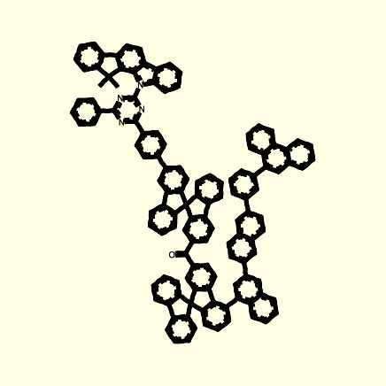 CC1(C)c2ccccc2-c2ccc3c4ccccc4n(-c4nc(-c5ccccc5)nc(-c5ccc(-c6ccc7c(c6)-c6ccccc6C76c7ccccc7-c7ccc(C(=O)c8ccc9c(c8)C8(c%10ccccc%10-c%10ccccc%108)c8cccc(-c%10cc(-c%11ccc%12cc(-c%13cccc(-c%14cc%15ccccc%15c%15ccccc%14%15)c%13)ccc%12c%11)cc%11ccccc%10%11)c8-9)cc76)cc5)n4)c3c21